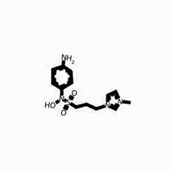 C[n+]1ccn(CCCS(=O)(=O)N(O)c2ccc(N)cc2)c1